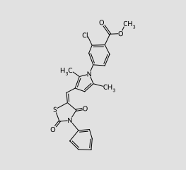 COC(=O)c1ccc(-n2c(C)cc(C=C3SC(=O)N(c4ccccc4)C3=O)c2C)cc1Cl